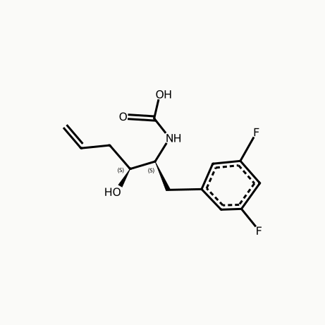 C=CC[C@H](O)[C@H](Cc1cc(F)cc(F)c1)NC(=O)O